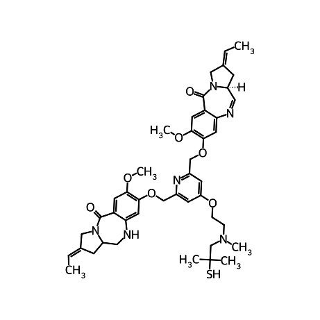 C/C=C1\CC2CNc3cc(OCc4cc(OCCN(C)CC(C)(C)S)cc(COc5cc6c(cc5OC)C(=O)N5C/C(=C/C)C[C@H]5C=N6)n4)c(OC)cc3C(=O)N2C1